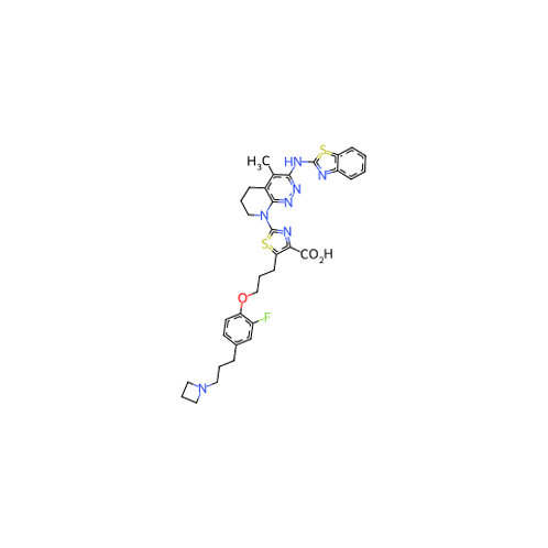 Cc1c(Nc2nc3ccccc3s2)nnc2c1CCCN2c1nc(C(=O)O)c(CCCOc2ccc(CCCN3CCC3)cc2F)s1